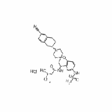 CC(O)CC(=O)N[C@H]1CC2(CCN([C@@H]3CCc4cc(C#N)ccc4C3)CC2)Oc2ccc(NS(C)(=O)=O)cc21.Cl